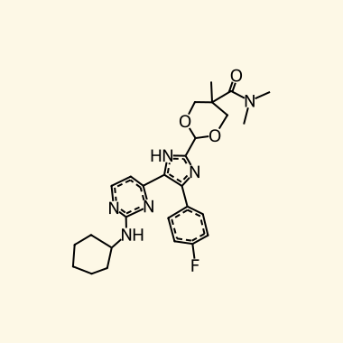 CN(C)C(=O)C1(C)COC(c2nc(-c3ccc(F)cc3)c(-c3ccnc(NC4CCCCC4)n3)[nH]2)OC1